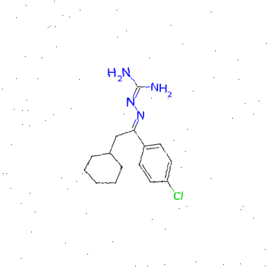 NC(N)=N/N=C(\CC1CCCCC1)c1ccc(Cl)cc1